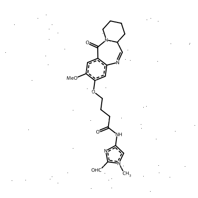 COc1cc2c(cc1OCCCC(=O)Nc1cn(C)c(C=O)n1)N=CC1CCCCN1C2=O